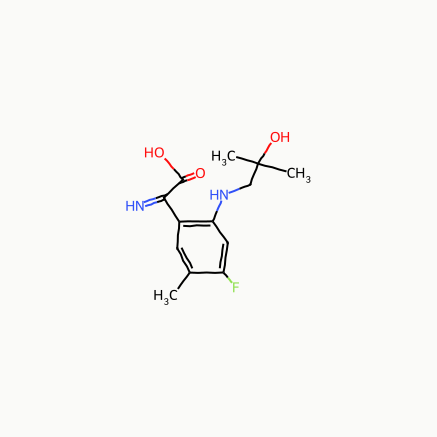 Cc1cc(C(=N)C(=O)O)c(NCC(C)(C)O)cc1F